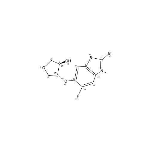 O[C@@H]1COC[C@H]1Oc1cc2sc(Br)nc2cc1F